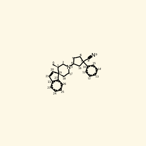 C[C@H]1CN(C2CCC(C#N)(c3ccccc3)C2)CC[C@@]12C=Cc1ccccc12